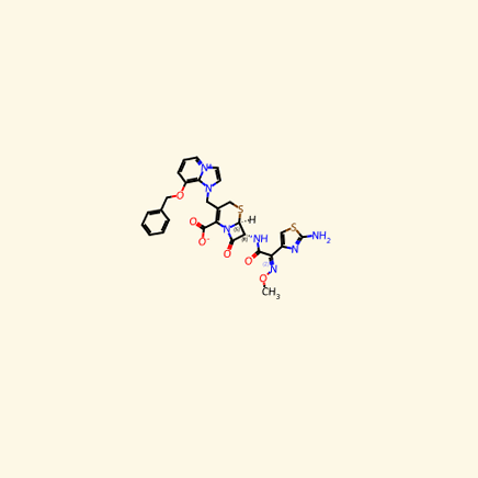 CO/N=C(\C(=O)N[C@@H]1C(=O)N2C(C(=O)[O-])=C(Cn3cc[n+]4cccc(OCc5ccccc5)c34)CS[C@@H]12)c1csc(N)n1